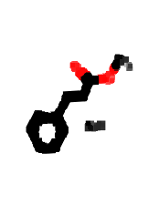 COC(=O)C=Cc1ccccc1.[NaH]